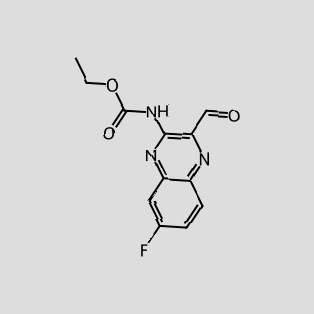 CCOC(=O)Nc1nc2cc(F)ccc2nc1C=O